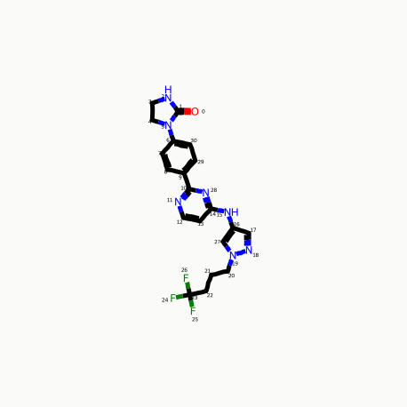 O=C1NCCN1c1ccc(-c2nccc(Nc3cnn(CCCC(F)(F)F)c3)n2)cc1